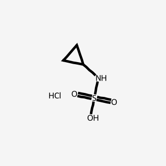 Cl.O=S(=O)(O)NC1CC1